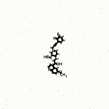 COc1ccc2nccc(C(O)CC[C@@H]3CCN(CC#Cc4cccc(F)c4F)C[C@@H]3CO)c2c1